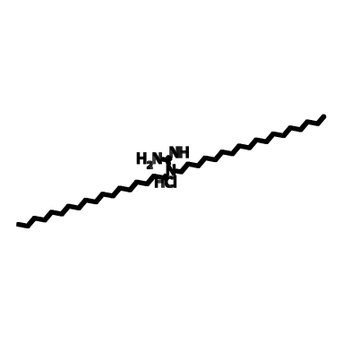 CCCCCCCCCCCCCCCCCCN(CCCCCCCCCCCCCCCCCC)C(=N)N.Cl